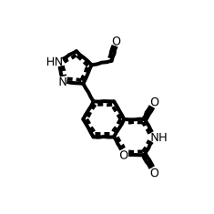 O=Cc1c[nH]nc1-c1ccc2oc(=O)[nH]c(=O)c2c1